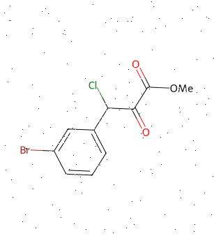 COC(=O)C(=O)C(Cl)c1cccc(Br)c1